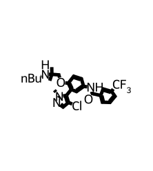 CCCCNC(C)(C)COc1ccc(NC(=O)c2cccc(C(F)(F)F)c2)cc1-c1c(Cl)cnn1C